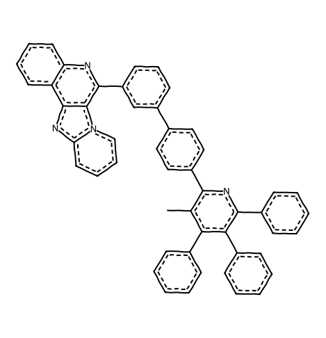 Cc1c(-c2ccc(-c3cccc(-c4nc5ccccc5c5nc6ccccn6c45)c3)cc2)nc(-c2ccccc2)c(-c2ccccc2)c1-c1ccccc1